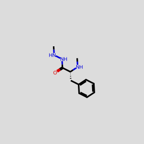 CNNC(=O)[C@@H](Cc1ccccc1)NC